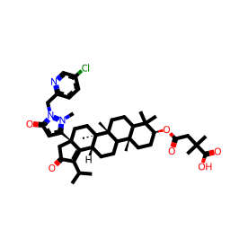 CC(C)C1=C2[C@H]3CCC4[C@@]5(C)CC[C@H](OC(=O)CC(C)(C)C(=O)O)C(C)(C)C5CC[C@@]4(C)[C@]3(C)CC[C@@]2(c2cc(=O)n(Cc3ccc(Cl)cn3)n2C)CC1=O